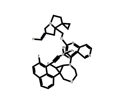 CC(C)[Si](C#Cc1c(F)ccc2cccc(C34COCCN(c5nc(OCC67C/C(=C/F)CN6CCC76CC6)nc6ccncc56)C3C4F)c12)(C(C)C)C(C)C